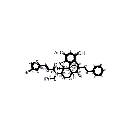 CC(=O)Oc1cc(O)c2c3c1O[C@H]1[C@H](N(CC(C)C)C(=O)/C=C/c4cc(Br)cs4)CC[C@H]4[C@@H](C2)N(CCc2ccccc2)CC[C@@]341